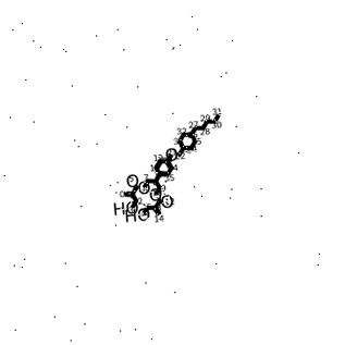 C=C(CO)C(=O)OCC(COC(=O)C(=C)CO)c1ccc(OCC2CCC(CCCCC)CC2)cc1